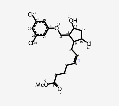 COC(=O)CCC/C=C\CC1C(Cl)CC(O)C1COc1cc(Cl)cc(Cl)c1